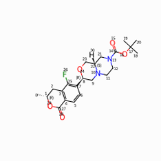 C[C@@H]1Cc2c(ccc([C@@H]3CN4CCN(C(=O)OC(C)(C)C)C[C@H]4CO3)c2F)C(=O)O1